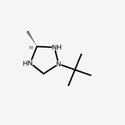 C[C@H]1NCN(C(C)(C)C)N1